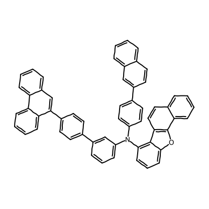 c1cc(-c2ccc(-c3cc4ccccc4c4ccccc34)cc2)cc(N(c2ccc(-c3ccc4ccccc4c3)cc2)c2cccc3oc4c5ccccc5ccc4c23)c1